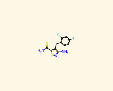 NC(=S)c1snc(N)c1Cc1ccc(F)cc1F